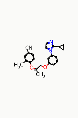 Cc1cc(C#N)ccc1O[C@H](C)COc1cccc(-n2ccnc2C2CC2)c1